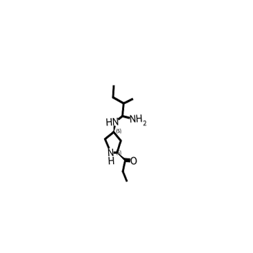 CCC(=O)[C@@H]1C[C@H](NC(N)C(C)CC)CN1